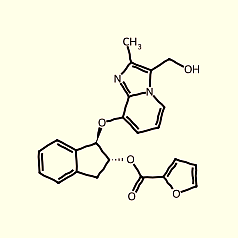 Cc1nc2c(O[C@@H]3c4ccccc4C[C@H]3OC(=O)c3ccco3)cccn2c1CO